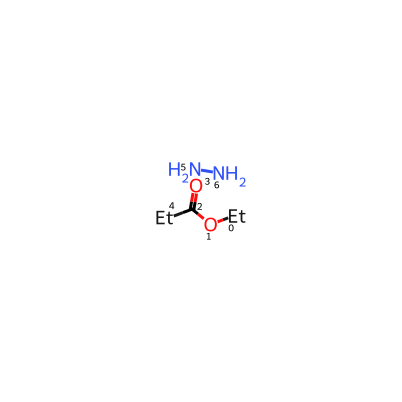 CCOC(=O)CC.NN